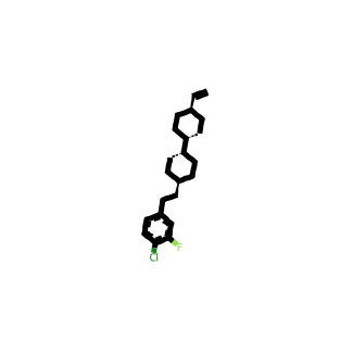 C=C[C@H]1CC[C@H]([C@H]2CC[C@H](CCc3ccc(Cl)c(F)c3)CC2)CC1